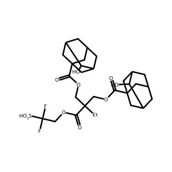 CCC(COC(=O)C12CC3CC(C1)C(O)C(C3)C2)(COC(=O)C12CC3CC(C1)C(O)C(C3)C2)C(=O)OCC(F)(F)S(=O)(=O)O